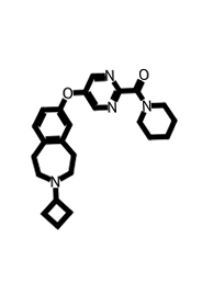 O=C(c1ncc(Oc2ccc3c(c2)CCN(C2CCC2)CC3)cn1)N1CCCCC1